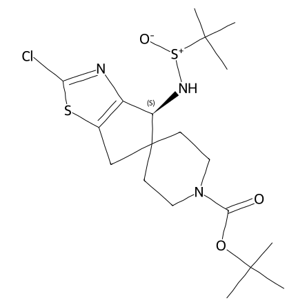 CC(C)(C)OC(=O)N1CCC2(CC1)Cc1sc(Cl)nc1[C@H]2N[S+]([O-])C(C)(C)C